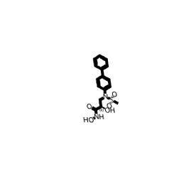 CS(=O)(=O)N(C[C@@H](O)C(=O)NO)c1ccc(-c2ccccc2)cc1